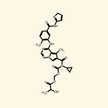 Cc1ccc(C(=O)NC2=NCC=C2)cc1Nc1ncnn2cc(C(=O)N(C(=O)OCOC(=O)C(C)O)C3CC3)c(C)c12